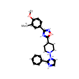 CCOc1ccc(-c2noc(C3CCN(n4ccnc4-c4ccccc4)CC3)n2)cc1OC